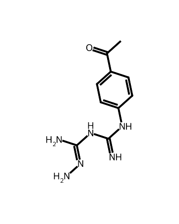 CC(=O)c1ccc(NC(=N)NC(N)=NN)cc1